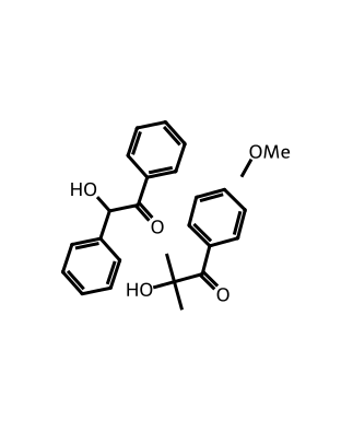 CC(C)(O)C(=O)c1ccccc1.COC.O=C(c1ccccc1)C(O)c1ccccc1